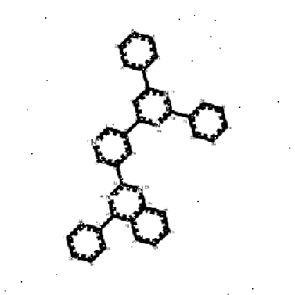 c1ccc(-c2cc(-c3cncc(-c4nc(-c5ccccc5)c5ccccc5n4)c3)nc(-c3ccccc3)n2)cc1